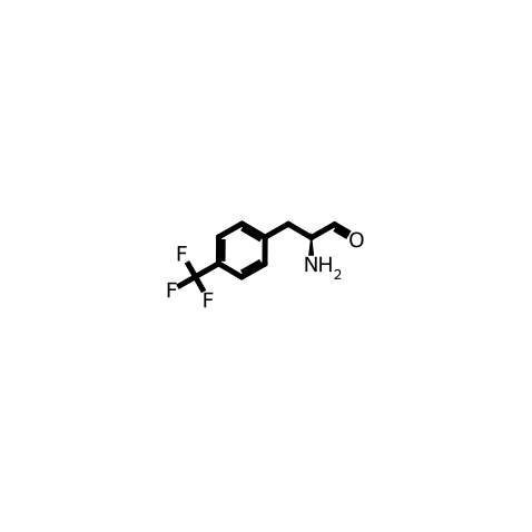 N[C@H](C=O)Cc1ccc(C(F)(F)F)cc1